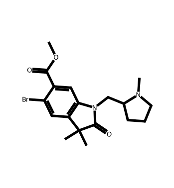 COC(=O)c1cc2c(cc1Br)C(C)(C)C(=O)N2CC1CCCN1C